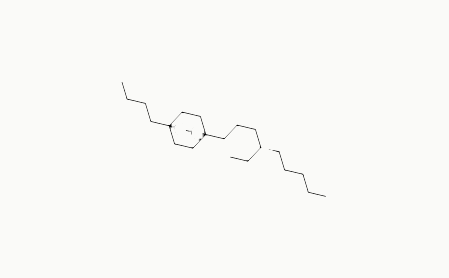 CCCCC[C@H]1CC[C@H](C23CCC(CCCC)(CC2)CC3)CC1